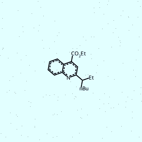 CCCCC(CC)c1cc(C(=O)OCC)c2ccccc2n1